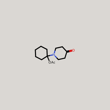 CC(=O)OC1(N2CCC(=O)CC2)CCCCC1